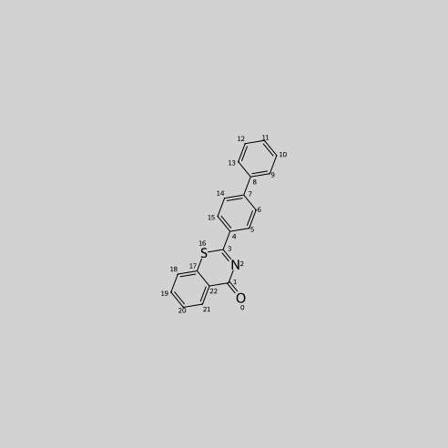 O=c1nc(-c2ccc(-c3ccccc3)cc2)sc2ccccc12